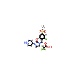 CS(=O)(=O)c1ccc(CN2CCN(C3CCNCC3)C2=O)c(F)c1.O=C(O)C(F)(F)F